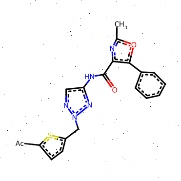 CC(=O)c1ccc(Cn2ncc(NC(=O)c3nc(C)oc3-c3ccccc3)n2)s1